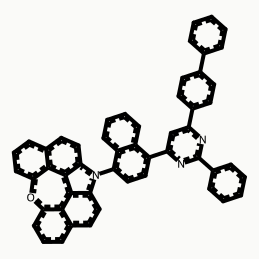 c1ccc(-c2ccc(-c3cc(-c4ccc(-n5c6ccc7cccc8oc9cccc%10ccc5c(c%109)c6c78)c5ccccc45)nc(-c4ccccc4)n3)cc2)cc1